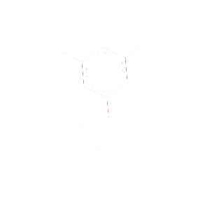 Cc1cc(C)cc(OS(C)(=O)=O)c1